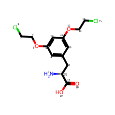 N[C@@H](Cc1cc(OCCCl)cc(OCCCl)c1)C(=O)O